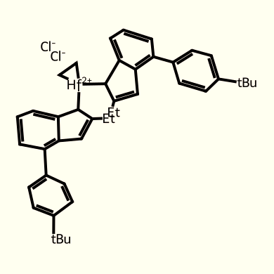 CCC1=Cc2c(-c3ccc(C(C)(C)C)cc3)cccc2[CH]1[Hf+2]1([CH]2C(CC)=Cc3c(-c4ccc(C(C)(C)C)cc4)cccc32)[CH2][CH2]1.[Cl-].[Cl-]